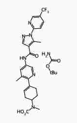 CC(C)(C)OC(N)=O.Cc1cc(NC(=O)c2cnn(-c3ccc(C(F)(F)F)cn3)c2C)cnc1C1=CCC(N(C)C(=O)O)CC1